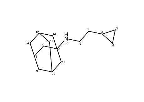 C(CC1CC1)NC12CC3CC(CC(C3)C1)C2